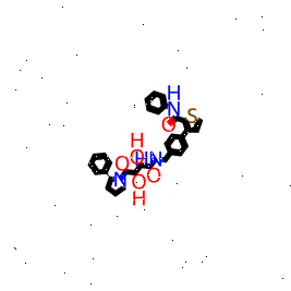 O=C(Nc1ccccc1)c1sccc1-c1ccc(CNC(=O)[C@H](O)[C@@H](O)C(=O)N2CCC[C@@H]2c2ccccc2)cc1